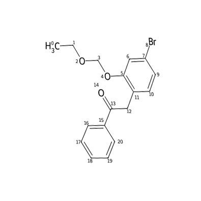 CCOCOc1cc(Br)ccc1CC(=O)c1ccccc1